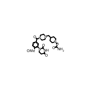 COc1ccc(C(=O)N2CCN(CC3CCN(OC(N)=O)CC3)CC2)cc1N1CCC(=O)NC1=O